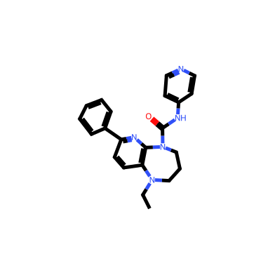 CCN1CCCN(C(=O)Nc2ccncc2)c2nc(-c3ccccc3)ccc21